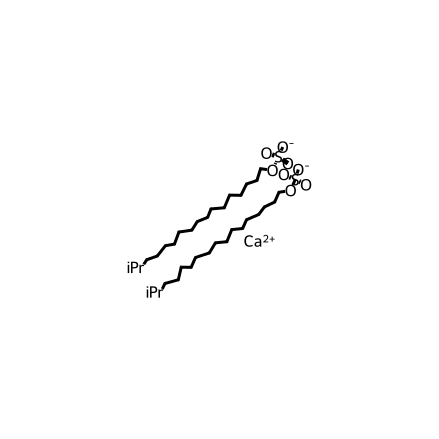 CC(C)CCCCCCCCCCCCCCCOS(=O)(=O)[O-].CC(C)CCCCCCCCCCCCCCCOS(=O)(=O)[O-].[Ca+2]